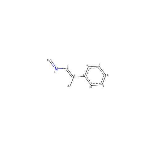 C=N/C=C(\C)c1ccccc1